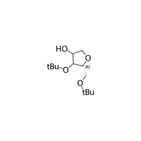 CC(C)(C)OC[C@H]1OCC(O)C1OC(C)(C)C